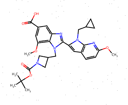 COc1ccc2cc(-c3nc4cc(C(=O)O)cc(OC)c4n3CC3CN(C(=O)OC(C)(C)C)C3)n(CC3CC3)c2n1